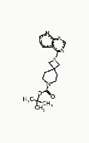 CC(C)(C)OC(=O)N1CCC2(CC1)CN(c1ncnc3ncccc13)C2